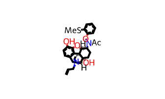 C=CCN1CC[C@]23c4c5ccc(O)c4O[C@H]2[C@@H](N(Oc2ccccc2SC)C(C)=O)CC[C@@]3(O)[C@H]1C5